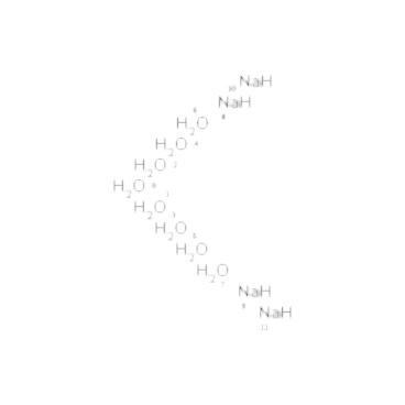 O.O.O.O.O.O.O.O.[NaH].[NaH].[NaH].[NaH]